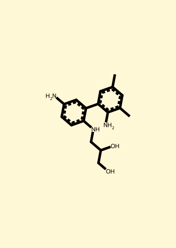 Cc1cc(C)c(N)c(-c2cc(N)ccc2NCC(O)CO)c1